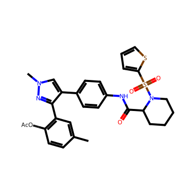 CC(=O)Oc1ccc(C)cc1-c1nn(C)cc1-c1ccc(NC(=O)C2CCCCN2S(=O)(=O)c2cccs2)cc1